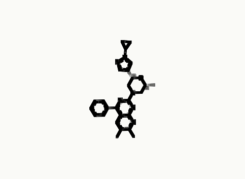 Cc1cc2c(-c3ccccc3)nc(N3C[C@@H](C)O[C@@H](c4cnn(C5CC5)c4)C3)nc2nc1C